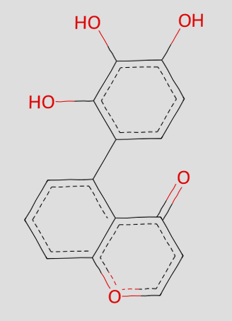 O=c1ccoc2cccc(-c3ccc(O)c(O)c3O)c12